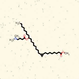 CCCCCCCCC(CCCCCCCCC1CC1CCCCCCCC(=O)OC)OC(=O)CCCN(C)C